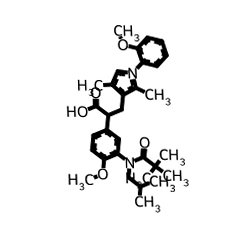 COc1ccc(C(Cc2c(C)cn(-c3ccccc3OC)c2C)C(=O)O)cc1N(CC(C)C)C(=O)C(C)(C)C